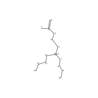 C=C(C)CCCN(CCCC)CCCC